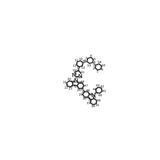 c1ccc(-c2cccc(-c3cccc(-c4cnc(-n5c6ccccc6c6cc(-c7ccc8c9ccccc9n(-c9ccccc9)c8c7)ccc65)nc4)c3)c2)cc1